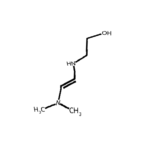 CN(C)/C=C/NCCO